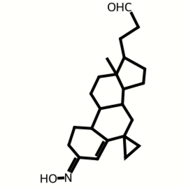 CC12CCC3C4CC/C(=N\O)C=C4C4(CC4)CC3C1CCC2CCC=O